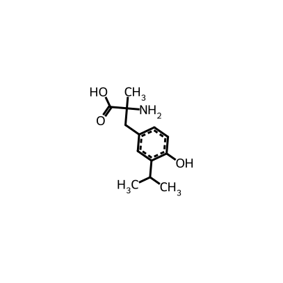 CC(C)c1cc(CC(C)(N)C(=O)O)ccc1O